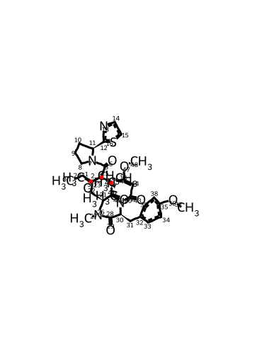 CC[C@H](C)[C@@H](C(=O)N1CCC[C@H]1c1nccs1)N(C)C(=O)[C@H](CC(C)C)N(C)C(=O)[C@H](Cc1ccc(OC)cc1)N(C)C(=O)/C=C(\C)OC